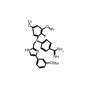 CCOc1cc(OC(C)C)c(F)c(N(Cc2nc(-c3cccc(OC)c3)c[nH]2)c2ccc(C(=N)N)cc2)c1